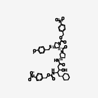 COc1ccc(CS[C@H]2C[C@@H](C(=O)N3CC[C@H](NC(=O)CC(O)C(CC4CCCCC4)NC(=O)OCc4ccc([N+](=O)[O-])cc4)C3)N(C(=O)OCc3ccc([N+](=O)[O-])cc3)C2)cc1